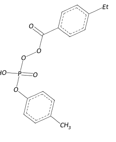 CCc1ccc(C(=O)OOP(=O)(O)Oc2ccc(C)cc2)cc1